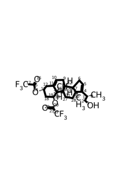 C[C@H](CO)C1=CC[C@H]2[C@@H]3CC=C4C[C@@H](OC(=O)C(F)(F)F)C[C@H](OC(=O)C(F)(F)F)[C@]4(C)[C@H]3CC[C@]12C